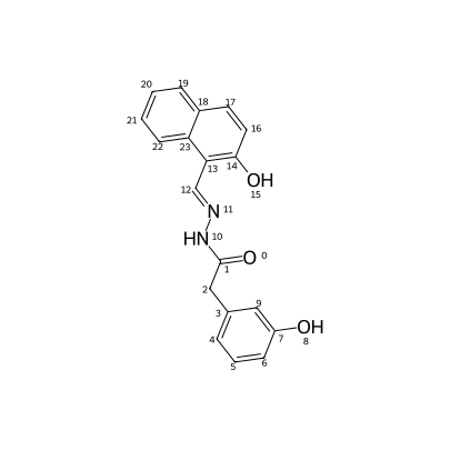 O=C(Cc1cccc(O)c1)N/N=C/c1c(O)ccc2ccccc12